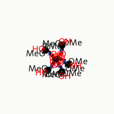 COc1cc(/C=C/C(=O)OC[C@H]2O[C@H](OC(=O)/C=C/c3cc(OC)c(O)c(OC)c3)[C@H](OC(=O)/C=C/c3cc(OC)c(O)c(OC)c3)[C@@H](OC(=O)/C=C/c3cc(OC)c(O)c(OC)c3)[C@@H]2OC(=O)/C=C/c2cc(OC)c(O)c(OC)c2)cc(OC)c1O